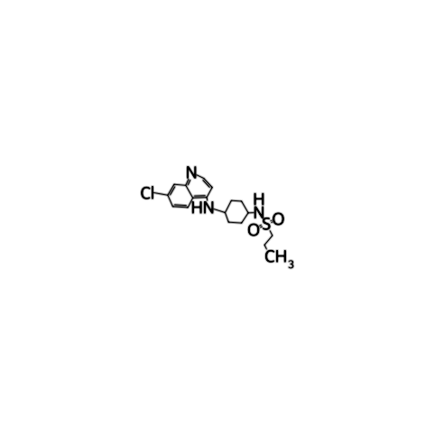 CCCS(=O)(=O)NC1CCC(Nc2ccnc3cc(Cl)ccc23)CC1